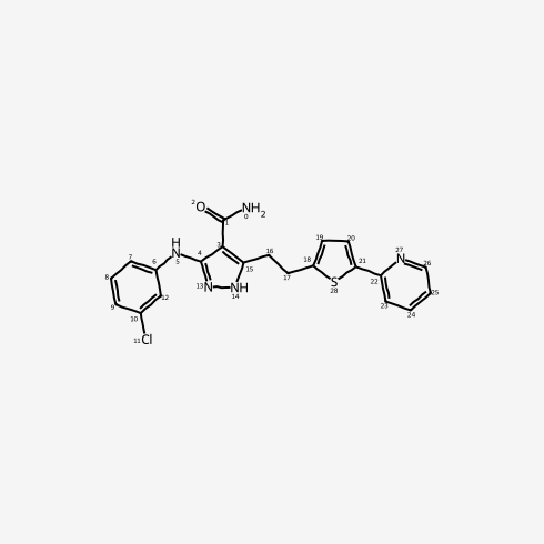 NC(=O)c1c(Nc2cccc(Cl)c2)n[nH]c1CCc1ccc(-c2ccccn2)s1